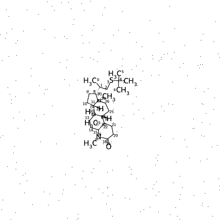 CC(CSC(C)(C)C)[C@H]1CC[C@H]2[C@@H]3CCC4N(C)C(=O)CC[C@]4(C)[C@H]3CC[C@]12C